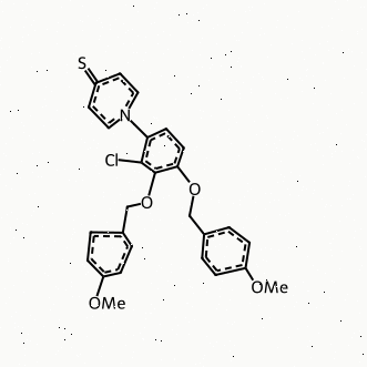 COc1ccc(COc2ccc(-n3ccc(=S)cc3)c(Cl)c2OCc2ccc(OC)cc2)cc1